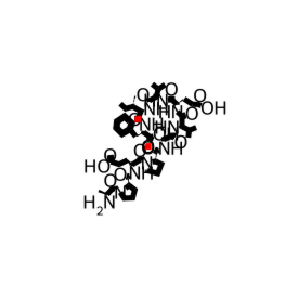 CC[C@H](C)[C@H](NC(=O)[C@@H](NC(=O)[C@H](CCC(=O)O)NC(=O)[C@@H](NC(=O)CNC(=O)[C@@H]1CCCN1C(=O)[C@H](CCC(=O)O)NC(=O)[C@@H]1CCCN1C(=O)[C@H](C)N)C(C)C)C(C)C)C(=O)N[C@@H](Cc1ccccc1)C(=O)O